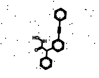 O=C(NO)C(c1ccccc1)c1cccc(C#Cc2ccccc2)c1